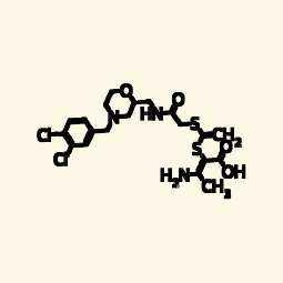 C=C(SCC(=O)NC[C@H]1CN(Cc2ccc(Cl)c(Cl)c2)CCO1)S/C(C(=O)O)=C(/C)N